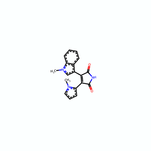 Cn1cccc1C1=C(c2cn(C)c3ccccc23)C(=O)NC1=O